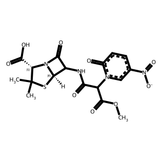 COC(=O)C(C(=O)NC1C(=O)N2[C@@H]1SC(C)(C)[C@@H]2C(=O)O)n1cc([N+](=O)[O-])ccc1=O